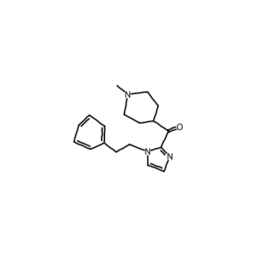 CN1CCC(C(=O)c2nccn2CCc2ccccc2)CC1